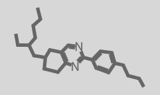 CCCCc1ccc(-c2ncc3c(n2)CCC(CC(CC)CCCC)C3)cc1